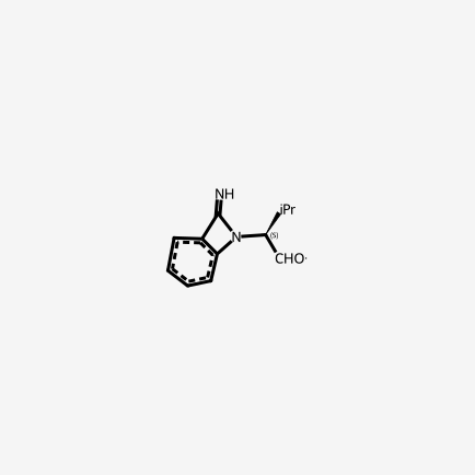 CC(C)[C@@H]([C]=O)N1C(=N)c2ccccc21